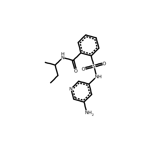 CCC(C)NC(=O)c1ccccc1S(=O)(=O)Nc1cncc(N)c1